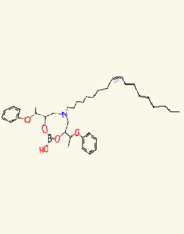 CCCCCCCC/C=C\CCCCCCCCN1CC(C(C)Oc2ccccc2)OB(O)OC(C(C)Oc2ccccc2)C1